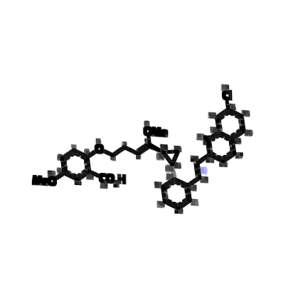 COC(=CCCOc1ccc(OC)cc1C(=O)O)[C@H]1C[C@@H]1c1ccccc1/C=C/c1ccc2ccc(Cl)cc2n1